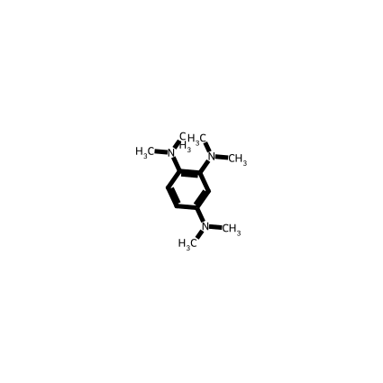 CN(C)c1ccc(N(C)C)c(N(C)C)c1